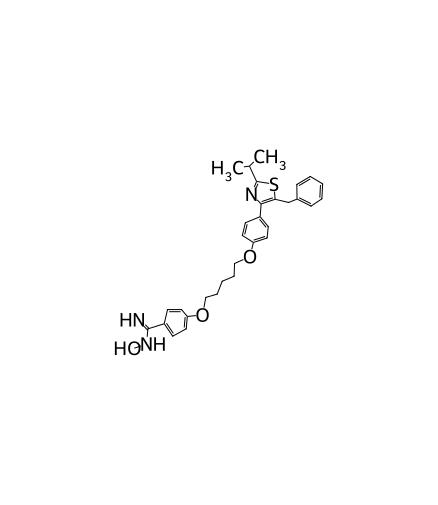 CC(C)c1nc(-c2ccc(OCCCCCOc3ccc(C(=N)NO)cc3)cc2)c(Cc2ccccc2)s1